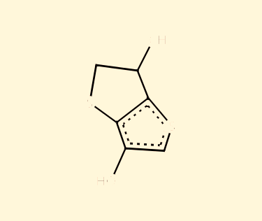 CC1CSc2c(O)csc21